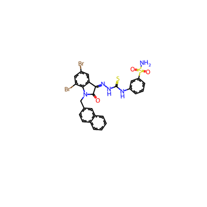 NS(=O)(=O)c1cccc(NC(=S)NN=C2C(=O)N(Cc3ccc4ccccc4c3)c3c(Br)cc(Br)cc32)c1